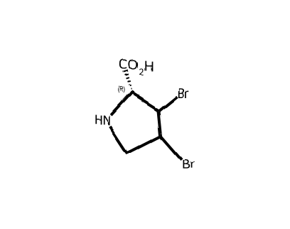 O=C(O)[C@H]1NCC(Br)C1Br